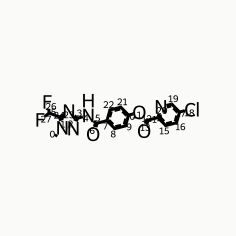 Cn1nc(NC(=O)c2ccc(OC(=O)c3ccc(Cl)cn3)cc2)nc1C(F)F